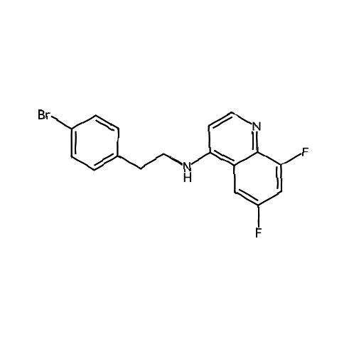 Fc1cc(F)c2nccc(NCCc3ccc(Br)cc3)c2c1